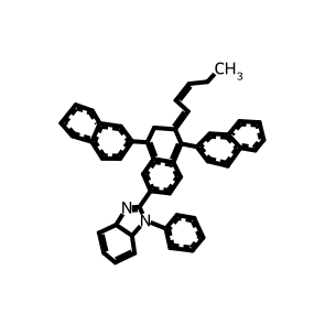 CC/C=C\C=C1/CC(c2ccc3ccccc3c2)=c2cc(C3=NC4C=CC=CC4N3c3ccccc3)ccc2=C1c1ccc2ccccc2c1